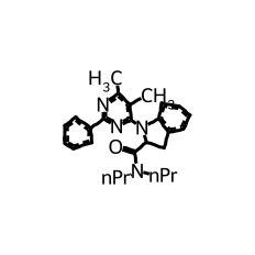 CCCN(CCC)C(=O)C1Cc2ccccc2N1c1nc(-c2ccccc2)nc(C)c1C